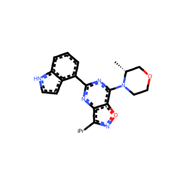 CC(C)c1noc2c(N3CCOC[C@H]3C)nc(-c3cccc4[nH]ccc34)nc12